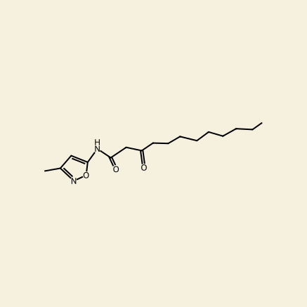 CCCCCCCCCC(=O)CC(=O)Nc1cc(C)no1